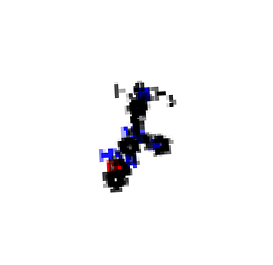 CN(C)c1ccc(/C=C/c2nc3cc4[nH]c(=O)c(Cc5ccccc5)nc4cc3n2CCN2CCCC2)cc1